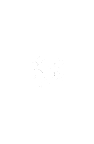 CC(CCC(Cl)[CH](Cl)[Zr])(C1C=Cc2ccccc21)C1c2ccccc2-c2ccccc21